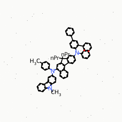 CCCC1(CCC)c2cc(N(c3ccccc3)c3ccc(-c4ccccc4)cc3-c3ccccc3)ccc2-c2c1cc(N(c1ccc(C)cc1)c1ccc3c(c1)c1ccccc1n3C)c1ccccc21